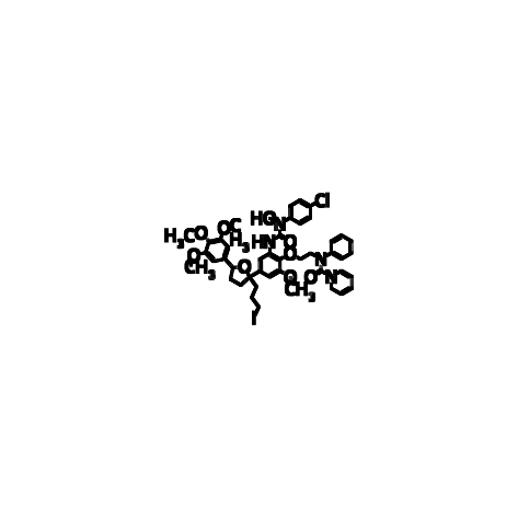 COc1cc(C2(CCCI)CCC(c3cc(OC)c(OC)c(OC)c3)O2)cc(NC(=O)N(O)c2ccc(Cl)cc2)c1OCCN(C(=O)N1C=CC=CC1)c1ccccc1